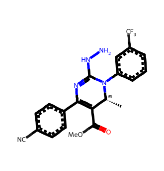 COC(=O)C1=C(c2ccc(C#N)cc2)N=C(NN)N(c2cccc(C(F)(F)F)c2)[C@@H]1C